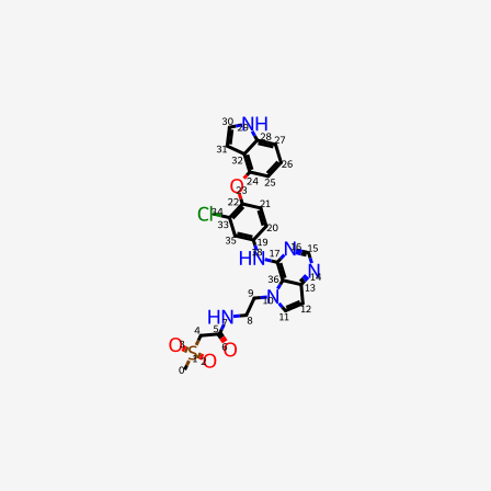 CS(=O)(=O)CC(=O)NCCn1ccc2ncnc(Nc3ccc(Oc4cccc5[nH]ccc45)c(Cl)c3)c21